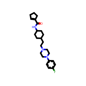 O=C(NC1CCC(CCN2CCN(c3ccc(F)cc3)CC2)CC1)C1=CCCC1